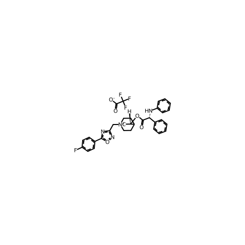 O=C(O[C@H]1C[N+]2(Cc3noc(-c4ccc(F)cc4)n3)CCC1CC2)[C@H](Nc1ccccc1)c1ccccc1.O=C([O-])C(F)(F)F